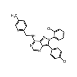 Cc1ccc(CNc2ncnc3c(-c4ccc(Cl)cc4)n(-c4ccccc4Cl)nc23)nc1